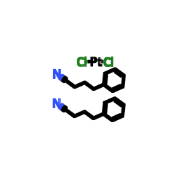 N#CCCCc1ccccc1.N#CCCCc1ccccc1.[Cl][Pt][Cl]